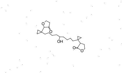 O=C1OCCC1C1(CCCCC(O)CCCCC2(C3OCCC3=O)CC2)CC1